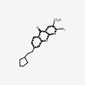 CCOC(=O)c1cc2c(=O)c3ccc(CCC4CCCC4)cc3oc2nc1N